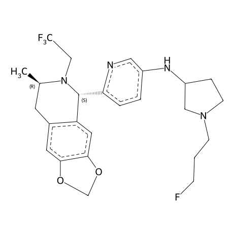 C[C@@H]1Cc2cc3c(cc2[C@@H](c2ccc(NC4CCN(CCCF)C4)cn2)N1CC(F)(F)F)OCO3